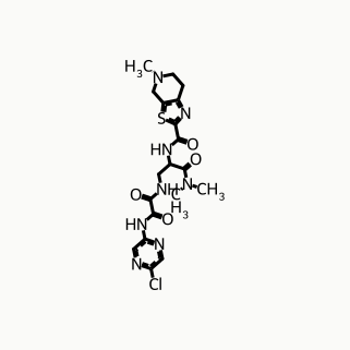 CN1CCc2nc(C(=O)NC(CNC(=O)C(=O)Nc3cnc(Cl)cn3)C(=O)N(C)C)sc2C1